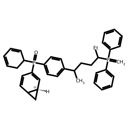 C=P(c1ccccc1)(c1ccccc1)C(CC)CCC(C)c1ccc(P(=O)(C2=C[C@H]3CC3C=C2)C2C=CC=CC2)cc1